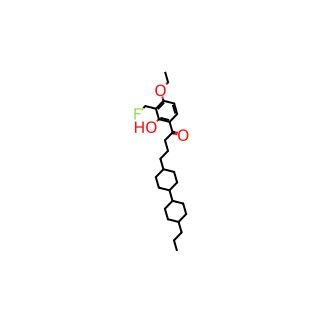 CCCC1CCC(C2CCC(CCCC(=O)c3ccc(OCC)c(CF)c3O)CC2)CC1